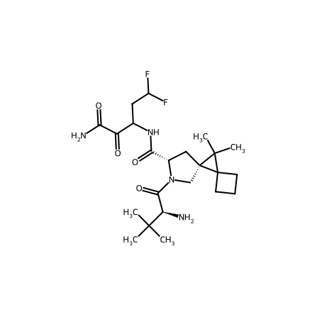 CC(C)(C)[C@H](N)C(=O)N1C[C@]2(C[C@H]1C(=O)NC(CC(F)F)C(=O)C(N)=O)C(C)(C)C21CCC1